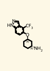 N[C@@H]1CCC[C@@H](Oc2ccc3[nH]ncc3c2C(F)(F)F)C1